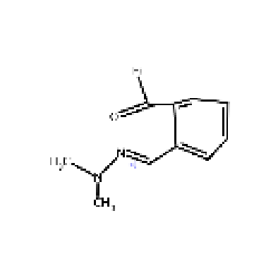 CCC(=O)c1ccccc1/C=N/N(C)C